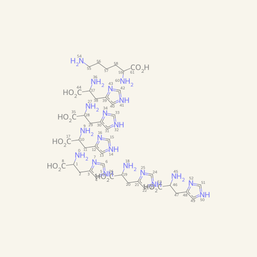 NC(Cc1c[nH]cn1)C(=O)O.NC(Cc1c[nH]cn1)C(=O)O.NC(Cc1c[nH]cn1)C(=O)O.NC(Cc1c[nH]cn1)C(=O)O.NC(Cc1c[nH]cn1)C(=O)O.NC(Cc1c[nH]cn1)C(=O)O.NCCCCC(N)C(=O)O